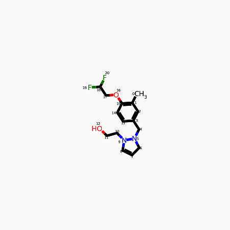 Cc1cc(CN2CC=CN2CCO)ccc1OCC(F)F